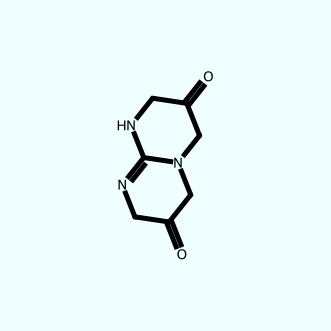 O=C1CN=C2NCC(=O)CN2C1